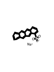 O=S(=O)([O-])c1cccc2cc3cc4ccccc4cc3cc12.[Na+]